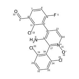 Nc1c(-c2c(F)ccc(C=O)c2Cl)cc[n+]([O-])c1-c1c(Cl)cccc1Cl